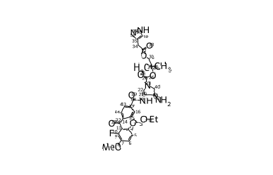 CCOCOc1ccc(OC)c(F)c1C(=O)c1ccc(C(=O)N[C@@H]2CN(C(=O)OC(C)(C)COC(=O)Cc3cn[nH]c3)C[C@H]2N)cc1